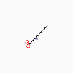 CCCCCCCCC/C(C)=C/CCCC(=O)OC